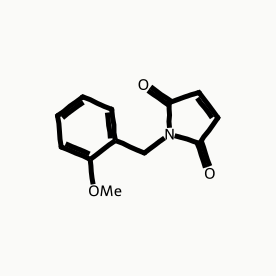 COc1ccccc1CN1C(=O)C=CC1=O